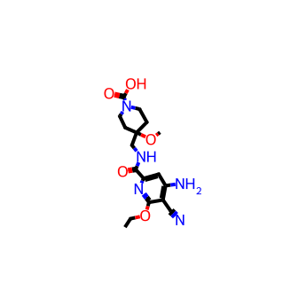 CCOc1nc(C(=O)NCC2(OC)CCN(C(=O)O)CC2)cc(N)c1C#N